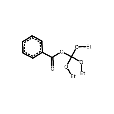 CCOC(OCC)(OCC)OC(=O)c1ccccc1